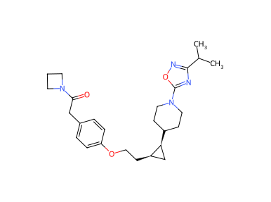 CC(C)c1noc(N2CCC([C@H]3C[C@H]3CCOc3ccc(CC(=O)N4CCC4)cc3)CC2)n1